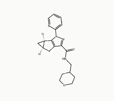 O=C(NCC1CCOCC1)c1nn(-c2ccccn2)c2c1C[C@H]1C[C@@H]21